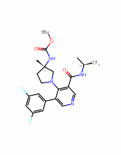 C[C@H](NC(=O)c1cncc(-c2cc(F)cc(F)c2)c1N1CC[C@](C)(NC(=O)OC(C)(C)C)C1)C(F)(F)F